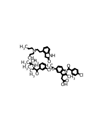 CC(NC(C)(C)C)C(=O)c1cccc(Cl)c1.CCCN(CCC)CCc1cccc2c1CC(=O)N2.COc1ccc2c(c1)c(CC(=O)O)c(C)n2C(=O)c1ccc(Cl)cc1